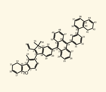 C=CC1=C(c2ccc3oc4c(c3c2C)CCC=C4)c2ccc(-c3c4ccccc4c(-c4cccc(-c5cccc6c5CCC=C6)c4)c4ccccc34)cc2C1(C)C